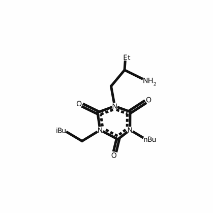 CCCCn1c(=O)n(CC(C)CC)c(=O)n(CC(N)CC)c1=O